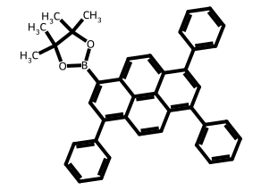 CC1(C)OB(c2cc(-c3ccccc3)c3ccc4c(-c5ccccc5)cc(-c5ccccc5)c5ccc2c3c54)OC1(C)C